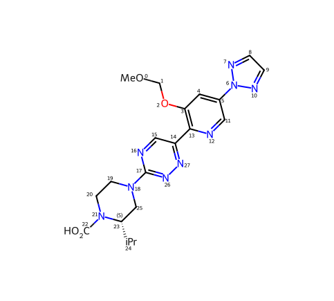 COCOc1cc(-n2nccn2)cnc1-c1cnc(N2CCN(C(=O)O)[C@@H](C(C)C)C2)nn1